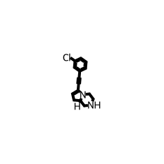 Clc1cccc(C#CC2=CC[C@H]3CNCCN23)c1